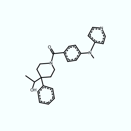 CC(O)C1(c2ccccc2)CCN(C(=O)c2ccc(N(C)c3ccncc3)cc2)CC1